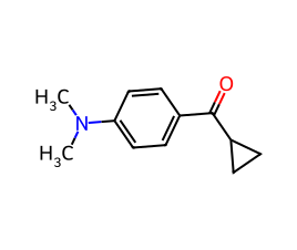 CN(C)c1ccc(C(=O)C2CC2)cc1